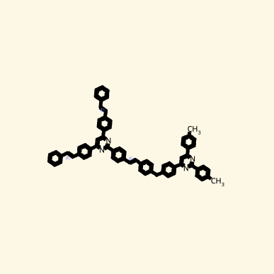 Cc1ccc(-c2cc(-c3ccc(Cc4ccc(/C=C/c5ccc(-c6nc(-c7ccc(/C=C/c8ccccc8)cc7)cc(-c7ccc(/C=C/c8ccccc8)cc7)n6)cc5)cc4)cc3)nc(-c3ccc(C)cc3)n2)cc1